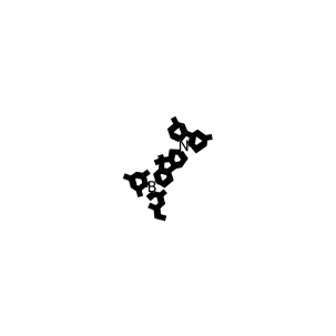 C=C(B(c1ccc2c(c1)C(C)(C)c1cc(-n3c4ccc(C)cc4c4cc(C)ccc43)ccc1-2)C1C(C)=CC(C)=CC1C)/C(C)=C\C(C)=C/C